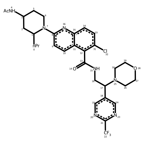 CCCC1CC(NC(C)=O)CCN1c1ccc2c(C(=O)NCC(c3cnc(C(F)(F)F)nc3)N3CCOCC3)c(Cl)ccc2n1